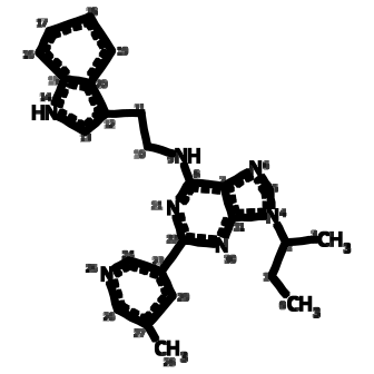 CCC(C)n1cnc2c(NCCc3c[nH]c4ccccc34)nc(-c3cncc(C)c3)nc21